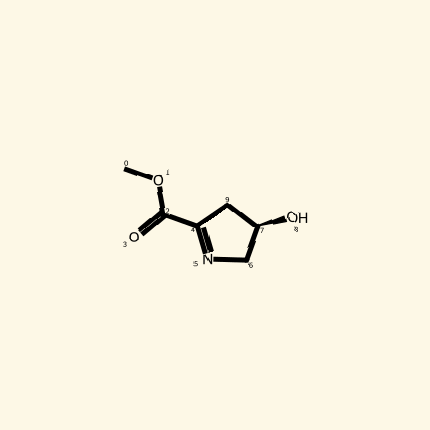 COC(=O)C1=NC[C@H](O)C1